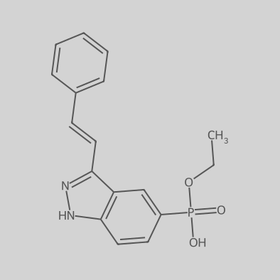 CCOP(=O)(O)c1ccc2[nH]nc(C=Cc3ccccc3)c2c1